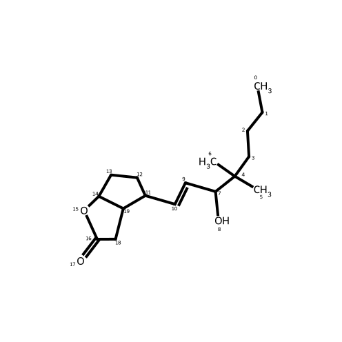 CCCCC(C)(C)C(O)/C=C/C1CCC2OC(=O)CC12